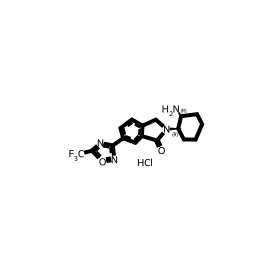 Cl.N[C@@H]1CCCC[C@H]1N1Cc2ccc(-c3noc(C(F)(F)F)n3)cc2C1=O